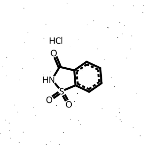 Cl.O=C1NS(=O)(=O)c2ccccc21